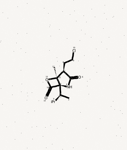 CC(C)[C@H](C)[C@@]12NC(=O)[C@H](CCCl)[C@]1(C)OC2=O